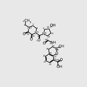 CCN1CCN(C(=O)N2C[C@H](O)C[C@@H]2C(=O)N[C@H]2Cc3cccc(C(=O)O)c3OB2O)C(=O)C1=O